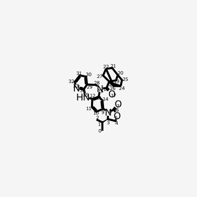 CC(C)[C@@H]1COC(=O)N1c1ccc2c(c1)N(C(=O)C13CC4CC(CC(C4)C1)C3)Cc1cccnc1N2